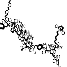 CC[C@H](C)[C@@H]([C@@H](CC(=O)N1CCC[C@H]1[C@H](OC)[C@@H](C)C(=O)N[C@@H](Cc1ccccc1)C(=O)OCCOCCOCCOC)OC)N(C)C(=O)[C@@H](NC(=O)[C@H](C(C)C)N(C)C(=O)OCc1ccc(NC(=O)[C@H](CCCNC(N)=O)NC(=O)C(NC(=O)CCCCCN2C(=O)C=CC2=O)C(C)C)cc1)C(C)C